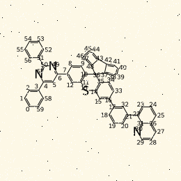 c1ccc(-c2cc(-c3ccc4c(c3)Sc3cc(-c5cccc(-c6cccc7cccnc67)c5)ccc3C43c4ccccc4-c4ccccc43)nc(-c3ccccc3)n2)cc1